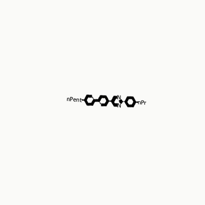 CCCCC[C@H]1CC[C@H]([C@H]2CC[C@H](c3cnc([C@H]4CC[C@H](CCC)CC4)nc3)CC2)CC1